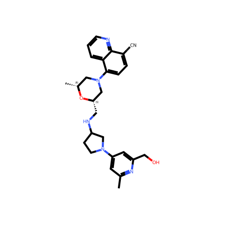 Cc1cc(N2CCC(NC[C@H]3CN(c4ccc(C#N)c5ncccc45)C[C@@H](C)O3)C2)cc(CO)n1